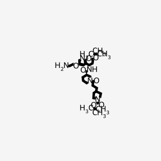 CC(C)(C)OC(=O)CC(NC(=O)[C@@H]1CCCN(C(=O)CCC2CCN(C(=O)OC(C)(C)C)CC2)C1)c1cncc(OCCN)c1